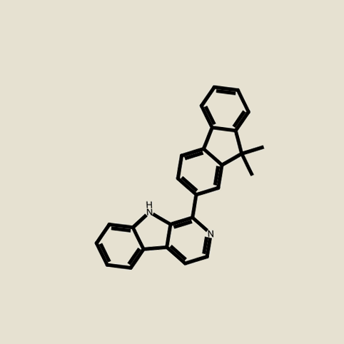 CC1(C)c2ccccc2-c2ccc(-c3nccc4c3[nH]c3ccccc34)cc21